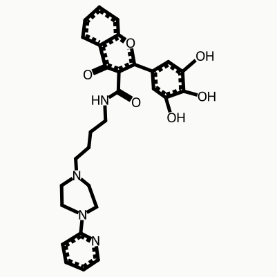 O=C(NCCCCN1CCN(c2ccccn2)CC1)c1c(-c2cc(O)c(O)c(O)c2)oc2ccccc2c1=O